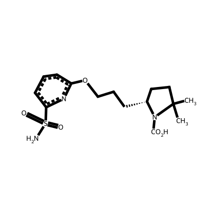 CC1(C)CC[C@@H](CCCOc2cccc(S(N)(=O)=O)n2)N1C(=O)O